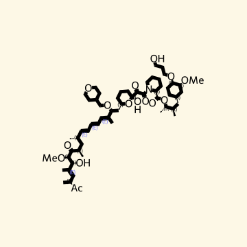 CO[C@@H]1C[C@H](C[C@@H](C)[C@H](C)OC(=O)[C@@H]2CCCCN2C(=O)C(=O)[C@@]2(O)CCC[C@@H](CC(OCC3CCOCC3)/C(C)=C/C=C/C=C/[C@@H](C)C[C@@H](C)C(=O)[C@H](OC)[C@H](O)/C(C)=C/[C@@H](C)C(C)=O)O2)CC[C@H]1OCCCO